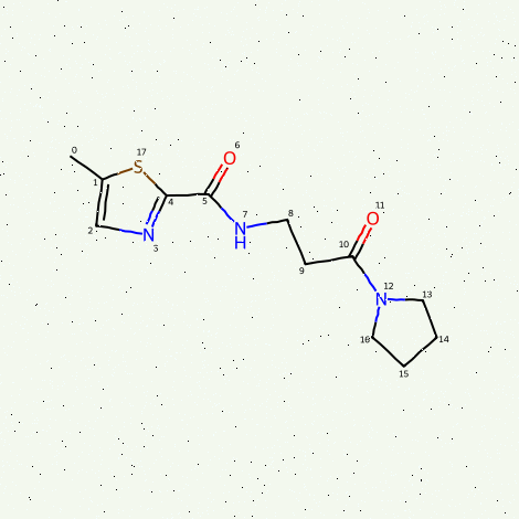 Cc1cnc(C(=O)NCCC(=O)N2CCCC2)s1